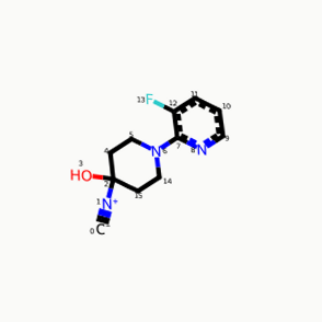 [C-]#[N+]C1(O)CCN(c2ncccc2F)CC1